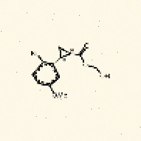 COc1ccc(Br)c([C@@H]2C[C@H]2C(=O)OCO)c1